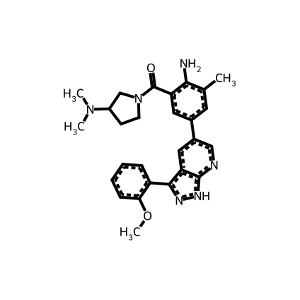 COc1ccccc1-c1n[nH]c2ncc(-c3cc(C)c(N)c(C(=O)N4CCC(N(C)C)C4)c3)cc12